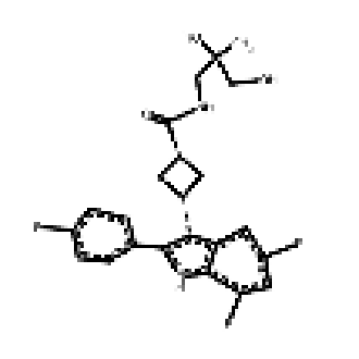 CC(O)(CO)CNC(=O)[C@H]1C[C@H](c2c(-c3ccc(F)cc3)[nH]c3c(F)cc(F)cc32)C1